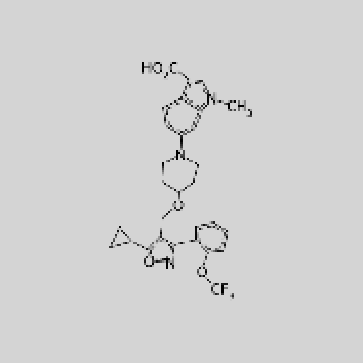 Cn1cc(C(=O)O)c2ccc(N3CCC(OCc4c(-c5ccccc5OC(F)(F)F)noc4C4CC4)CC3)cc21